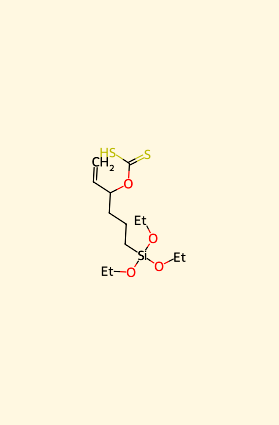 C=CC(CCC[Si](OCC)(OCC)OCC)OC(=S)S